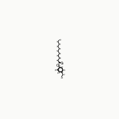 CCCCCCCCCCC(=O)Oc1ccc(CC)cc1